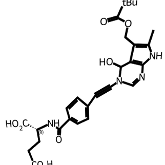 Cc1[nH]c2c(c1COC(=O)C(C)(C)C)C(O)N(C#Cc1ccc(C(=O)N[C@H](CCC(=O)O)C(=O)O)cc1)C=N2